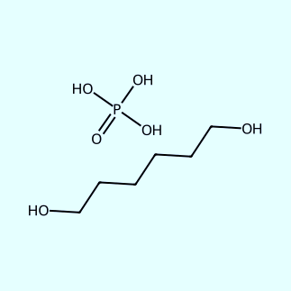 O=P(O)(O)O.OCCCCCCO